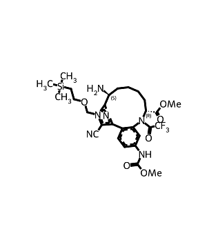 COC(=O)Nc1ccc2c(c1)N(C(=O)C(F)(F)F)[C@@H](C(=O)OC)CCCC[C@H](N)c1nc-2c(C#N)n1COCC[Si](C)(C)C